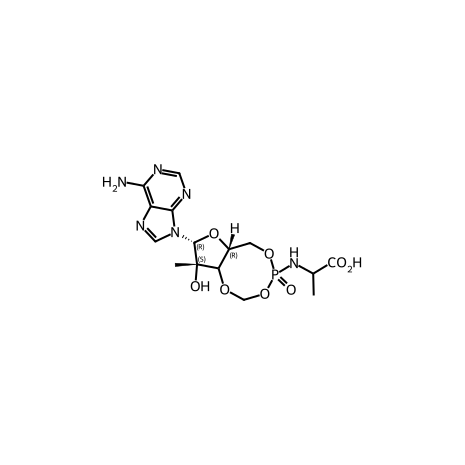 CC(NP1(=O)OCOC2[C@@H](CO1)O[C@@H](n1cnc3c(N)ncnc31)[C@@]2(C)O)C(=O)O